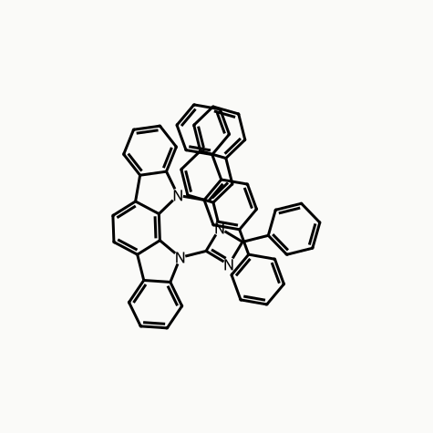 c1ccc(-c2ccc(-c3ccccc3)c(-n3c4ccccc4c4ccc5c6ccccc6n(C6=NC(c7ccccc7)N6c6ccc7ccccc7c6)c5c43)c2)cc1